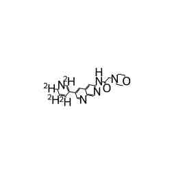 [2H]c1nc([2H])c(-c2cnc3cnc(NC(=O)CN4CCOCC4)cc3c2)c([2H])c1[2H]